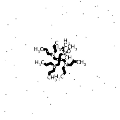 CCCN(CCC)CC(CN(CCC)CCC)(CN(CCC)CCC)C[Si](C)(CC)OC